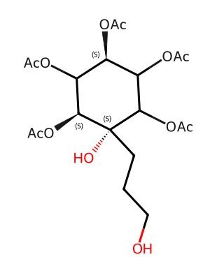 CC(=O)OC1C(OC(C)=O)[C@@](O)(CCCO)[C@@H](OC(C)=O)C(OC(C)=O)[C@H]1OC(C)=O